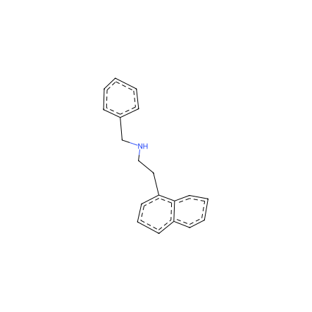 c1ccc(CNCCc2cccc3ccccc23)cc1